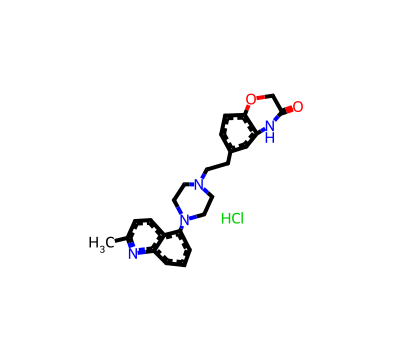 Cc1ccc2c(N3CCN(CCc4ccc5c(c4)NC(=O)CO5)CC3)cccc2n1.Cl